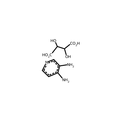 Nc1ccncc1N.O=C(O)C(O)C(O)C(=O)O